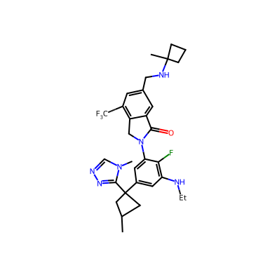 CCNc1cc(C2(c3nncn3C)CC(C)C2)cc(N2Cc3c(cc(CNC4(C)CCC4)cc3C(F)(F)F)C2=O)c1F